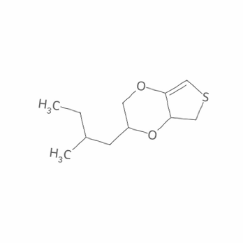 CCC(C)CC1COC2=CSCC2O1